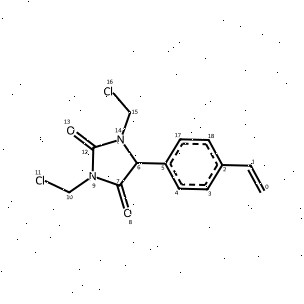 C=Cc1ccc(C2C(=O)N(CCl)C(=O)N2CCl)cc1